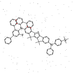 CC1(C)c2cc(N(c3ccccc3)c3ccc([Si](C)(C)C)cc3)ccc2-c2sc3c(c21)C(C)(C)c1cc(N(c2ccccc2-c2ccccc2)c2c(F)cc(-c4ccccc4)cc2-c2ccccc2)ccc1-3